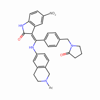 CC(=O)N1CCc2cc(N/C(=C3\C(=O)Nc4ccc([N+](=O)[O-])cc43)c3ccc(CN4CCCC4=O)cc3)ccc2C1